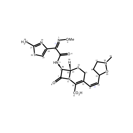 CO/N=C(\C(=O)N[C@@H]1C(=O)N2C(C(=O)O)=C(/C=C\C3CCN(C)O3)CS[C@@H]12)c1csc(N)n1